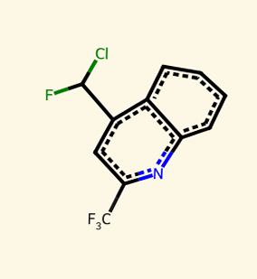 FC(Cl)c1cc(C(F)(F)F)nc2ccccc12